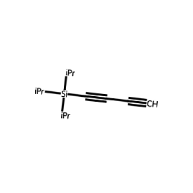 C#CC#C[Si](C(C)C)(C(C)C)C(C)C